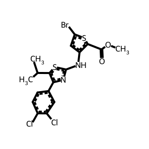 COC(=O)c1sc(Br)cc1Nc1nc(-c2ccc(Cl)c(Cl)c2)c(C(C)C)s1